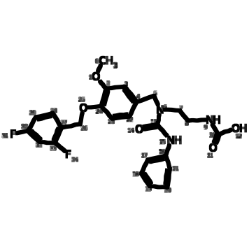 COc1cc(CN(CCNC(=O)O)C(=O)Nc2ccccc2)ccc1OCc1ccc(F)cc1F